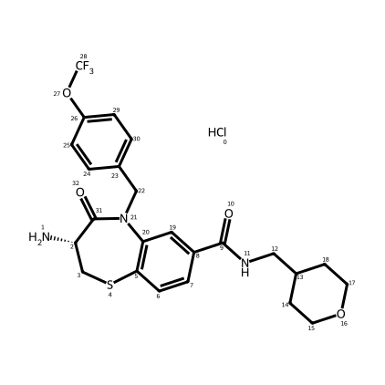 Cl.N[C@H]1CSc2ccc(C(=O)NCC3CCOCC3)cc2N(Cc2ccc(OC(F)(F)F)cc2)C1=O